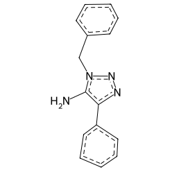 Nc1c(-c2ccccc2)nnn1Cc1ccccc1